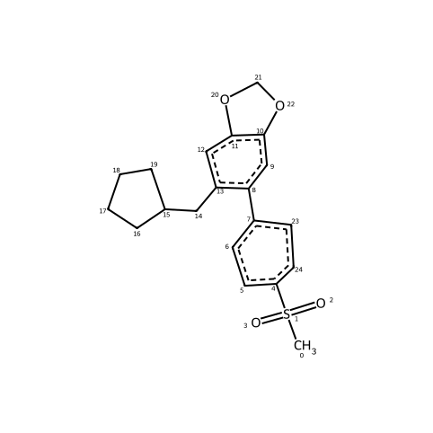 CS(=O)(=O)c1ccc(-c2cc3c(cc2CC2CCCC2)OCO3)cc1